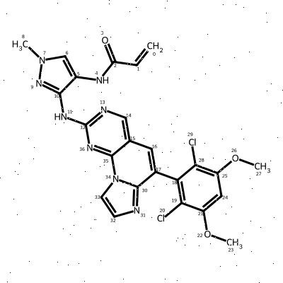 C=CC(=O)Nc1cn(C)nc1Nc1ncc2cc(-c3c(Cl)c(OC)cc(OC)c3Cl)c3nccn3c2n1